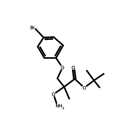 CC(C)(C)OC(=O)C(C)(COc1ccc(Br)cc1)ON